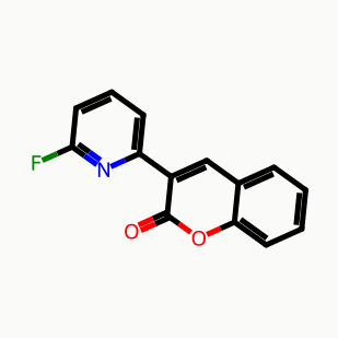 O=c1oc2ccccc2cc1-c1cccc(F)n1